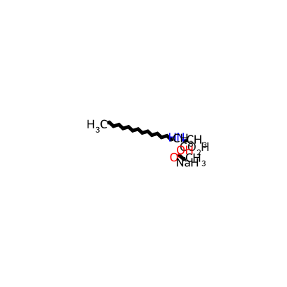 CC(=N)C(=O)O.CCC(=O)O.CCCCCCCCCCCCCCCC.[NaH]